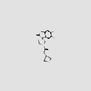 O=C(CC1CNC1)N1CC[C@]2(C1)C(=O)Nc1cc(Cl)c(Cl)cc12